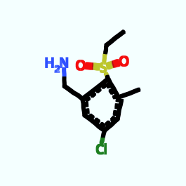 CCS(=O)(=O)c1c(C)cc(Cl)cc1CN